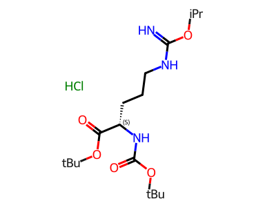 CC(C)OC(=N)NCCC[C@H](NC(=O)OC(C)(C)C)C(=O)OC(C)(C)C.Cl